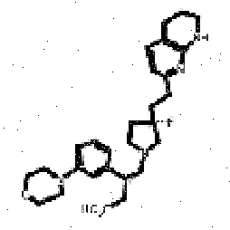 O=C(O)C[C@H](CN1CC[C@@](F)(CCc2ccc3c(n2)NCCC3)C1)c1cccc(N2CCOCC2)c1